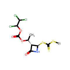 CCSC(=S)S[C@H]1NC(=O)[C@@H]1C(C)OC(=O)OC(Cl)C(Cl)Cl